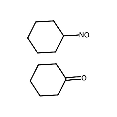 O=C1CCCCC1.O=NC1CCCCC1